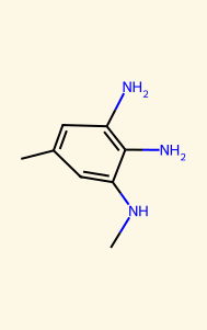 CNc1cc(C)cc(N)c1N